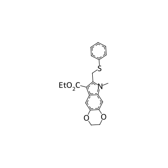 CCOC(=O)c1c(CSc2ccccc2)n(C)c2cc3c(cc12)OCCO3